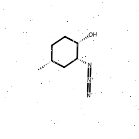 C[C@@H]1CC[C@H](O)[C@H](N=[N+]=[N-])C1